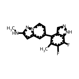 CNc1cc2cc(-c3c(C)c(F)c(F)c4[nH]ncc34)ccn2n1